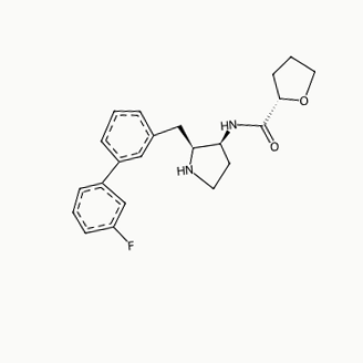 O=C(N[C@H]1CCN[C@H]1Cc1cccc(-c2cccc(F)c2)c1)[C@@H]1CCCO1